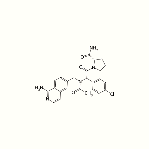 CC(=O)N(Cc1ccc2c(N)nccc2c1)C(C(=O)N1CCC[C@H]1C(N)=O)c1ccc(Cl)cc1